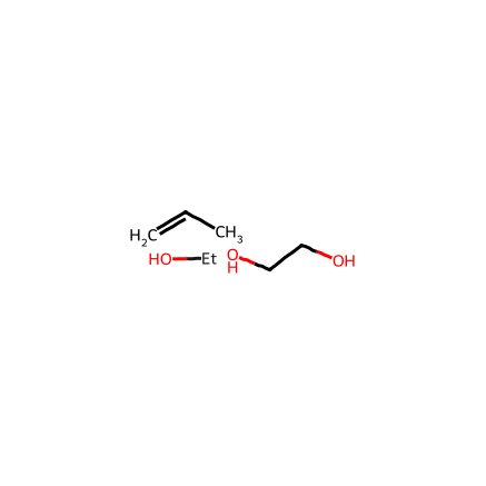 C=CC.CCO.OCCO